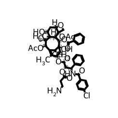 CC(=O)O[C@H]1C(=O)[C@@]2(C)[C@H]([C@H](OC(=O)c3ccccc3)[C@]3(O)C[C@H](OC(=O)[C@H](OC(=O)CCN)[C@@H](NC(=O)c4ccc(Cl)cc4)c4ccccc4)C(C)=C1C3(C)C)[C@]1(OC(C)=O)CO[C@@H]1C[C@@H]2O